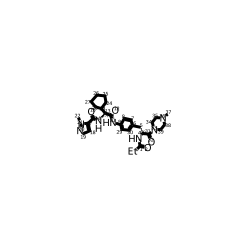 CCC(=O)N[C@H](Cc1ccc(NC(=O)[C@@H](NC(=O)c2ccnn2C)C2CCCCC2)cc1)C(=O)N1CCN(C)CC1